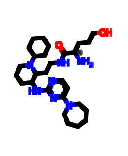 N[C@H](CCCO)C(=O)NCCC1C(Nc2nccc(N3CCCCCC3)n2)CCCN1C1CCCCC1